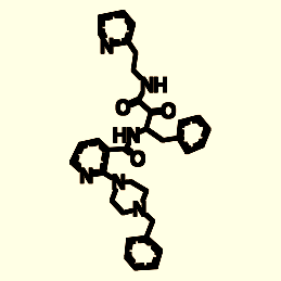 O=C(NCCc1ccccn1)C(=O)C(Cc1ccccc1)NC(=O)c1cccnc1N1CCN(Cc2ccccc2)CC1